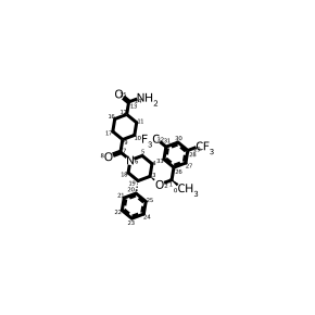 C[C@@H](O[C@H]1CCN(C(=O)C2CCC(C(N)=O)CC2)C[C@H]1c1ccccc1)c1cc(C(F)(F)F)cc(C(F)(F)F)c1